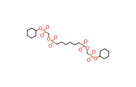 O=S(=O)(CCCCCCS(=O)(=O)OCS(=O)(=O)OC1CCCCC1)OCS(=O)(=O)OC1CCCCC1